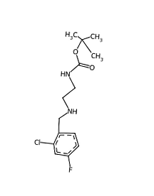 CC(C)(C)OC(=O)NCCNCc1ccc(F)cc1Cl